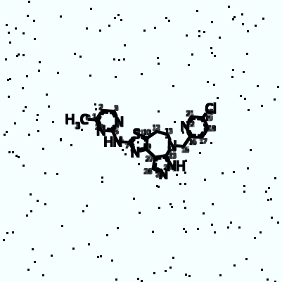 Cc1ccnc(Nc2nc3c(s2)CCN(Cc2ccc(Cl)cn2)c2[nH]ncc2-3)n1